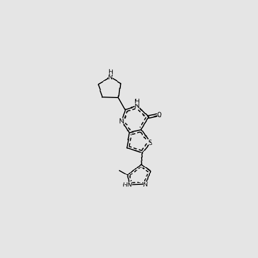 Cc1[nH]ncc1-c1cc2nc(C3CCNC3)[nH]c(=O)c2s1